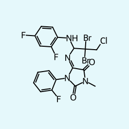 CN1C(=O)C(=NC(Nc2ccc(F)cc2F)C(Br)(Br)CCl)N(c2ccccc2F)C1=O